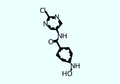 O=C(Nc1cnc(Cl)nc1)c1ccc(NO)cc1